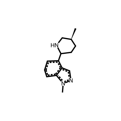 C[C@H]1CCC(c2cccc3c2cnn3C)NC1